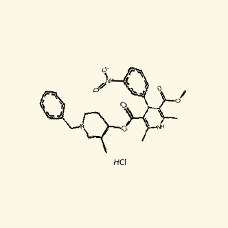 COC(=O)C1=C(C)NC(C)=C(C(=O)OC2CCN(Cc3ccccc3)CC2C)C1c1cccc([N+](=O)[O-])c1.Cl